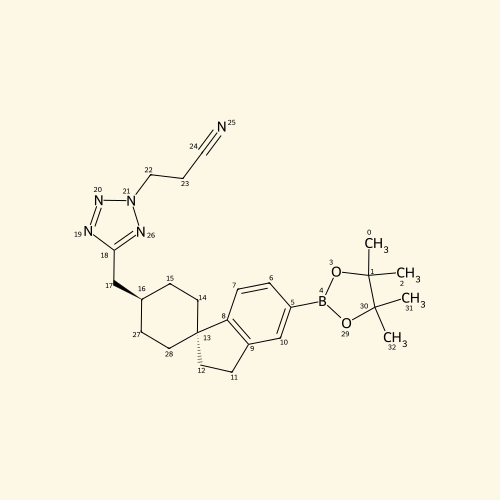 CC1(C)OB(c2ccc3c(c2)CC[C@]32CC[C@H](Cc3nnn(CCC#N)n3)CC2)OC1(C)C